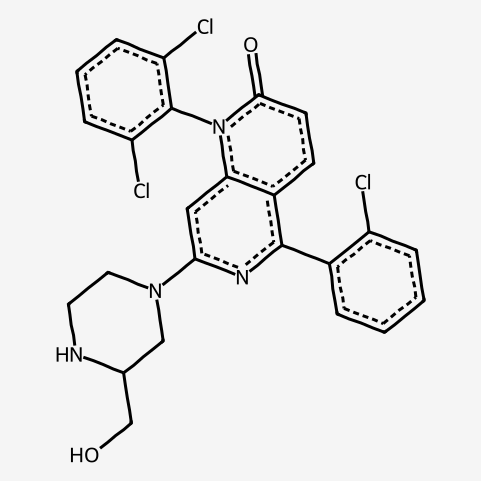 O=c1ccc2c(-c3ccccc3Cl)nc(N3CCNC(CO)C3)cc2n1-c1c(Cl)cccc1Cl